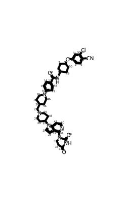 N#Cc1ccc(OC2CCC(NC(=O)c3ccc(N4CCC(CN5CCC(n6ccc7c(N8CCC(=O)NC8=O)nccc76)CC5)CC4)cc3)CC2)cc1Cl